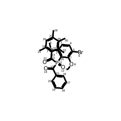 COc1ccc(Br)c(OC)c1P(=O)(C(=O)c1ccccc1)C(=O)c1c(C)cc(C)c(C)c1C